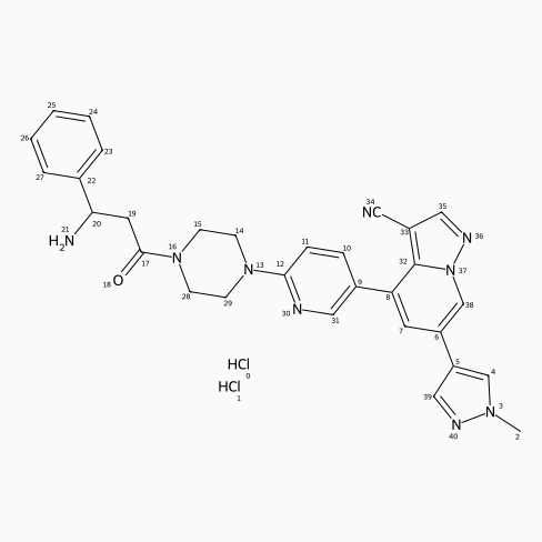 Cl.Cl.Cn1cc(-c2cc(-c3ccc(N4CCN(C(=O)CC(N)c5ccccc5)CC4)nc3)c3c(C#N)cnn3c2)cn1